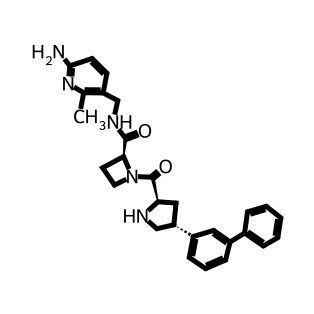 Cc1nc(N)ccc1CNC(=O)[C@@H]1CCN1C(=O)[C@H]1C[C@H](c2cccc(-c3ccccc3)c2)CN1